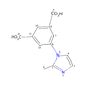 Cc1nccn1-c1cc(C(=O)O)cc(C(=O)O)c1